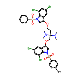 CC(C)c1ccc(S(=O)(=O)n2cc(OCC(CCOc3cn(S(=O)(=O)c4ccccc4)c4c(Br)cc(Br)cc34)(N(C)C)N(C)C)c3cc(Br)cc(Br)c32)cc1